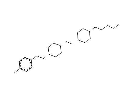 CCCCC[C@H]1CC[C@H](CC[C@H]2CC[C@H](CCc3ccc(C)cc3)CC2)CC1